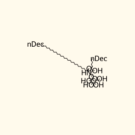 CCCCCCCCCCCCC/C=C/[C@@H](O)[C@H](CO[C@@H]1O[C@H](CO)[C@@H](O)C(O)C1O)NC(=O)CCCCCCCCCCCCCCCCCCCCCCCCCCCCCCCCCCC